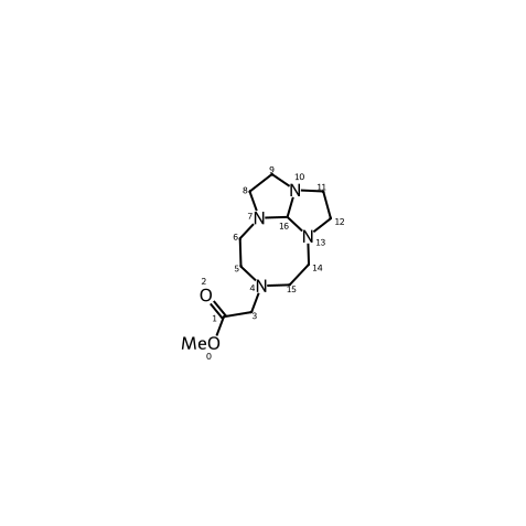 COC(=O)CN1CCN2CCN3CCN(CC1)C23